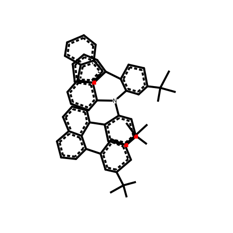 CC(C)(C)c1cc(-c2cccc3cccc(-c4ccccc4N(c4cc(C(C)(C)C)ccc4-c4ccccc4)c4cccc5c4sc4ccccc45)c23)cc(C(C)(C)C)c1